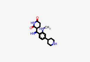 CNc1cc(C2CCNCC2)ccc1C(=N)C1CCC(=O)NC1=O